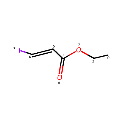 CCOC(=O)C=CI